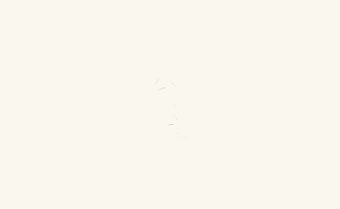 CN(C)C1(c2ccc(F)s2)CCC2(CCN(C(=O)OC(C)(C)C)C2)CC1